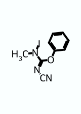 CN(I)/C(=N/C#N)Oc1ccccc1